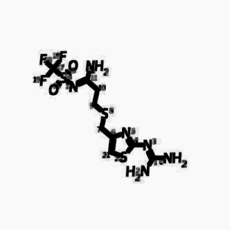 NC(N)=Nc1nc(CSCCC(N)=NS(=O)(=O)C(F)(F)F)cs1